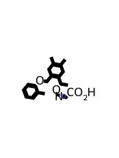 CC1=C(C)CC(C(C)O/N=C\C(=O)O)=C(COc2ccccc2C)C1